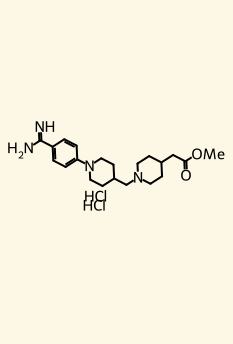 COC(=O)CC1CCN(CC2CCN(c3ccc(C(=N)N)cc3)CC2)CC1.Cl.Cl